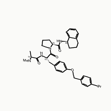 CN[C@@H](C)C(=O)N[C@@H](Cc1ccc(OCc2ccc(C(C)C)cc2)cc1)C(=O)N1CCC[C@H]1C(=O)N[C@@H]1CCCc2ccccc21